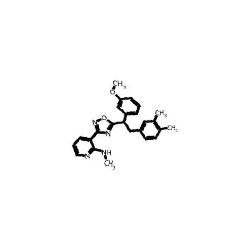 CNc1ncccc1-c1noc(C(Cc2ccc(C)c(C)c2)c2cccc(OC)c2)n1